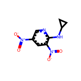 O=[N+]([O-])c1cnc(NC2CC2)c([N+](=O)[O-])c1